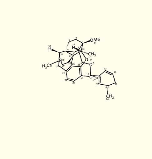 CO[C@]12CC[C@@]3(C[C@]1(C)COCC1=CC(C)CC=C1)[C@H]1Cc4ccc(O)c5c4[C@@]3(CCN1C)[C@H]2O5